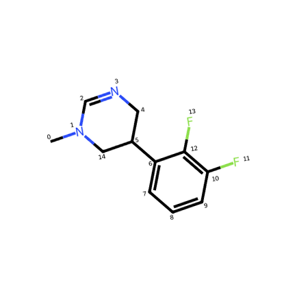 CN1C=NCC(c2cccc(F)c2F)C1